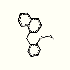 COc1ccccc1Cc1cccc2ccccc12